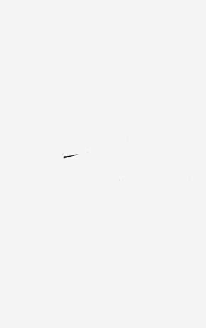 C[C@@]12C[C@H]3CC(C(=O)O)(C1)C[C@](c1ccccc1)(C3)C2